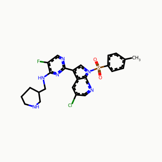 Cc1ccc(S(=O)(=O)n2cc(-c3ncc(F)c(NCC4CCCNC4)n3)c3cc(Cl)cnc32)cc1